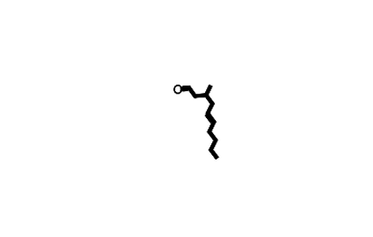 CCCCC=CCC(C)CC=O